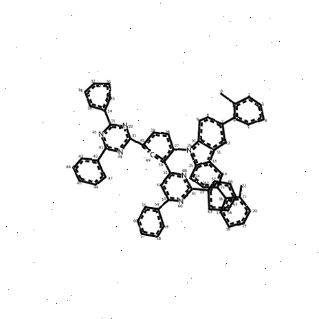 Cc1ccccc1-c1ccc2c(c1)c1cc(-c3ccccc3C)ccc1n2-c1ccc(-c2nc(-c3ccccc3)nc(-c3ccccc3)n2)cc1-c1cc(-c2ccccc2)nc(-c2ccccc2)n1